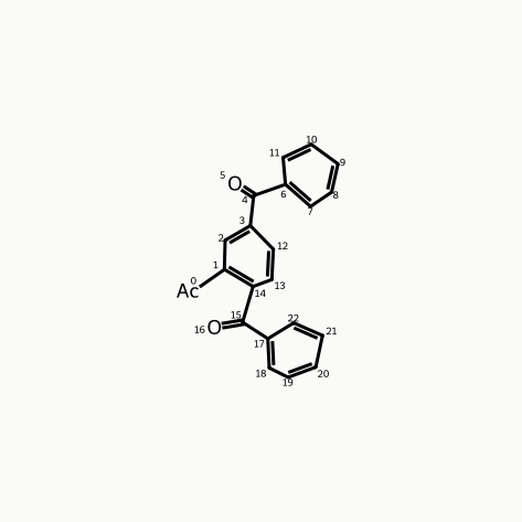 CC(=O)c1cc(C(=O)c2ccccc2)ccc1C(=O)c1ccccc1